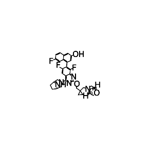 Cc1cc2c(N3CC4CCC(C3)N4)nc(OCC3(CN4C[C@H]5C[C@@H]4CO5)CC3)nc2c(F)c1-c1cc(O)cc2ccc(F)c(F)c12